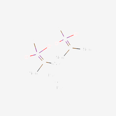 CCCCCCCCCS(CCCCCCCCC)=P([O-])([O-])[S-].CCCCCCCCCS(CCCCCCCCC)=P([O-])([O-])[S-].[Ba+2].[Ba+2].[Ba+2]